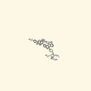 Cc1ccc(S(=O)(=O)n2ccc3c(-c4ccc5nc(N6CCC(CN7C[C@@H](C)N(C(=O)O)C[C@@H]7C)CC6)nc(C(CN)(OC6CC6)c6ccccc6)c5c4)cn(C)c(=O)c32)cc1